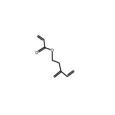 C=CC(=C)CCOC(=O)C=C